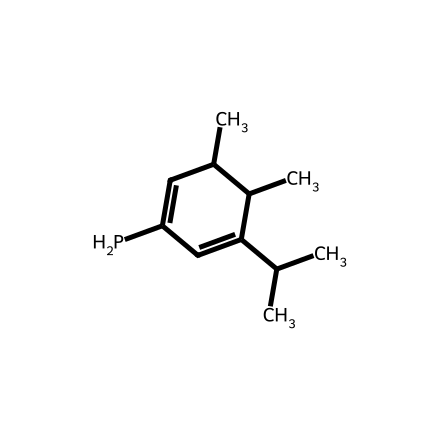 CC(C)C1=CC(P)=CC(C)C1C